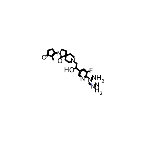 CC1=C(N2CCC3(CCN(CC(O)c4cnc(N(N)/C=N\N)c(F)c4)CC3)C2=O)CCC1=O